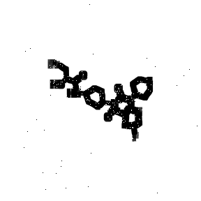 CC(C)C[C@H](O)C(=O)N[C@H]1CC[C@@H](n2c(=O)c3cc(F)cnc3n(C3CCSCC3)c2=O)CC1